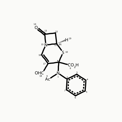 CC(=O)N(c1ccccc1)C1(C(=O)O)S[C@@H]2CC(=O)N2C=C1C=O